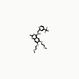 COCCOc1cc2nc(C)nc(NCc3cc(C(F)(F)F)ccn3)c2cc1OCCOC